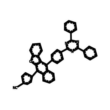 N#Cc1ccc(-c2c3ccccc3c(-c3ccc(-c4nc(-c5ccccc5)nc(-c5ccccc5)n4)cc3)c3c2oc2ccccc23)cc1